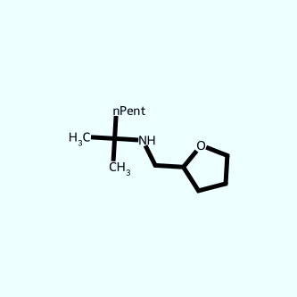 CCCCCC(C)(C)NCC1CCCO1